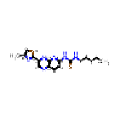 CCCCCNC(=S)Nc1ccc2ncc(-c3nc(C)cs3)nc2n1